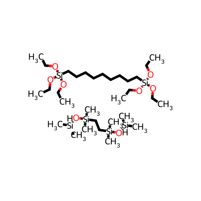 CCO[Si](CCCCCCCCC[Si](OCC)(OCC)OCC)(OCC)OCC.C[SiH](C)O[Si](C)(C)CC[Si](C)(C)O[SiH](C)C